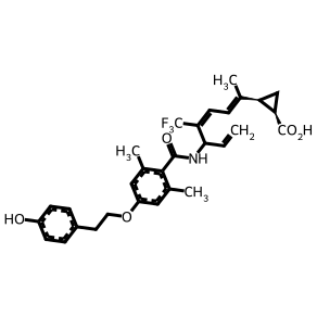 C=CC(NC(=O)c1c(C)cc(OCCc2ccc(O)cc2)cc1C)/C(=C\C=C(/C)[C@H]1C[C@H]1C(=O)O)C(F)(F)F